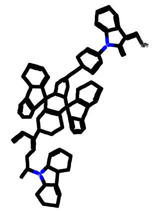 C=C/C(=C\CC(C)N1C2CCCC=C2C2CCC=CC21)C1CCC2=C(C1)C1(C3=CC=CCC3C3=C1CCC=C3)C1CC=C(C3C=CC(n4c(=C)/c(=C\CCC)c5ccccc54)=CC3)CC1C21C2=C(C=CCC2)c2ccccc21